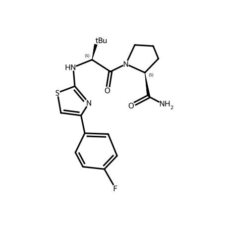 CC(C)(C)[C@H](Nc1nc(-c2ccc(F)cc2)cs1)C(=O)N1CCC[C@H]1C(N)=O